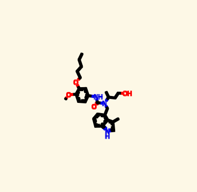 CCCCCOc1cc(NC(=O)N(Cc2cccc3[nH]cc(C)c23)C(C)CCO)ccc1OC